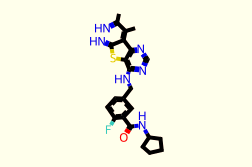 CC(=N)/C(C)=C1\C(=N)Sc2c(NCc3ccc(F)c(C(=O)NC4CCCC4)c3)ncnc21